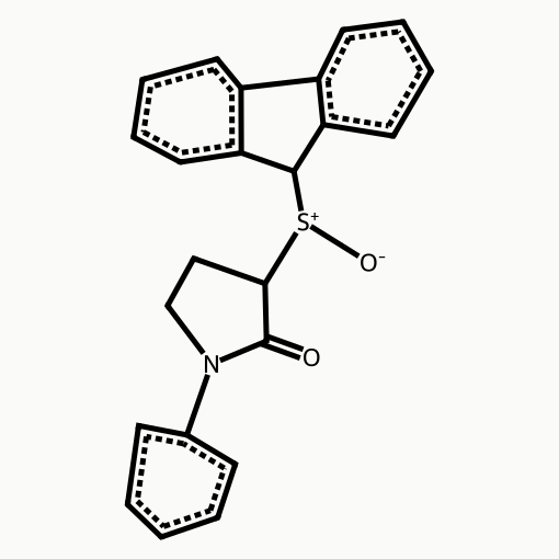 O=C1C([S+]([O-])C2c3ccccc3-c3ccccc32)CCN1c1ccccc1